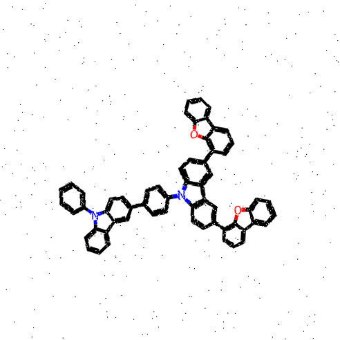 c1ccc(-n2c3ccccc3c3cc(-c4ccc(-n5c6ccc(-c7cccc8c7oc7ccccc78)cc6c6cc(-c7cccc8c7oc7ccccc78)ccc65)cc4)ccc32)cc1